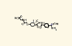 C[C@H](NC(=O)c1ccc(/C(N)=N/O)cc1)C(=O)N1CCC(OCC(=O)NCC(=O)O)CC1